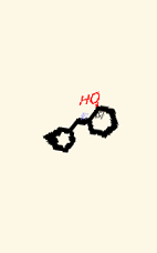 O[C@H]1CCCC/C1=C\c1ccccc1